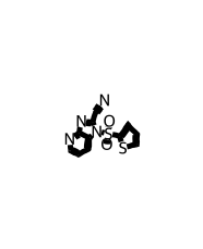 N#Cc1nc2ncccc2n1S(=O)(=O)c1cccs1